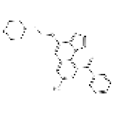 N#Cc1cc(C(=O)c2ccccc2)c2c(c1)cc(OCCN1CCOCC1)c1cccn12